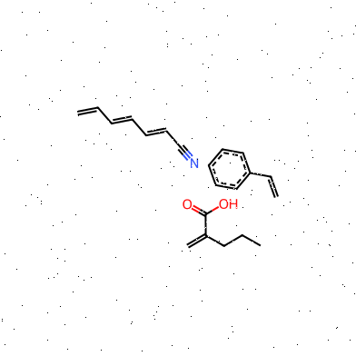 C=C(CCC)C(=O)O.C=CC=CC=CC#N.C=Cc1ccccc1